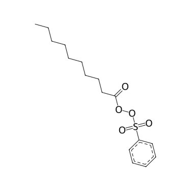 CCCCCCCCCC(=O)OOS(=O)(=O)c1ccccc1